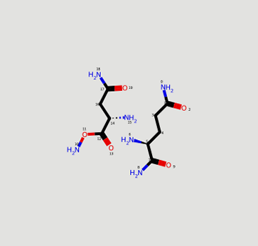 NC(=O)CC[C@H](N)C(N)=O.NOC(=O)[C@@H](N)CC(N)=O